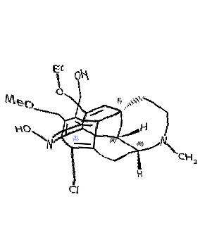 CCOC1=C[C@]23CCN(C)[C@H](Cc4c(Cl)cc(OC)c(O)c42)[C@@H]3C/C1=N/O